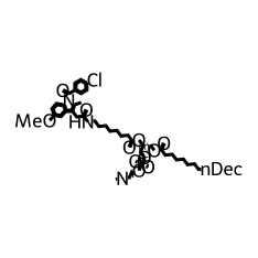 CCCCCCCCCCCCCCCCCC(=O)OC[C@H](COP(=O)([O-])OCC[N+](C)(C)C)OC(=O)CCCCCCCNC(=O)Cc1c(C)n(C(=O)c2ccc(Cl)cc2)c2ccc(OC)cc12